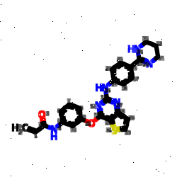 C=CC(=O)Nc1cccc(Oc2nc(Nc3ccc(C4=NCCCN4)cc3)nc3ccsc23)c1